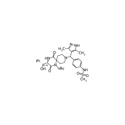 CCCCN1C(=O)[C@@H]([C@H](O)C(C)C)NC(=O)C12CCN(C(c1ccc(NS(C)(=O)=O)cc1)c1c(C)n[nH]c1C)CC2